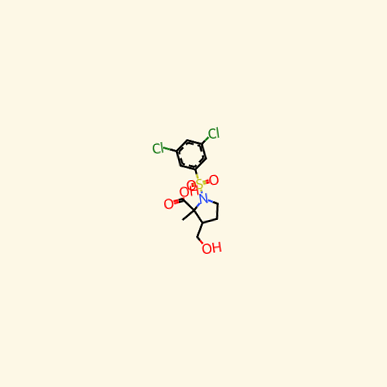 CC1(C(=O)O)C(CO)CCN1S(=O)(=O)c1cc(Cl)cc(Cl)c1